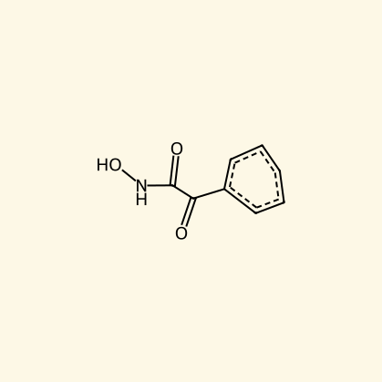 O=C(NO)C(=O)c1ccccc1